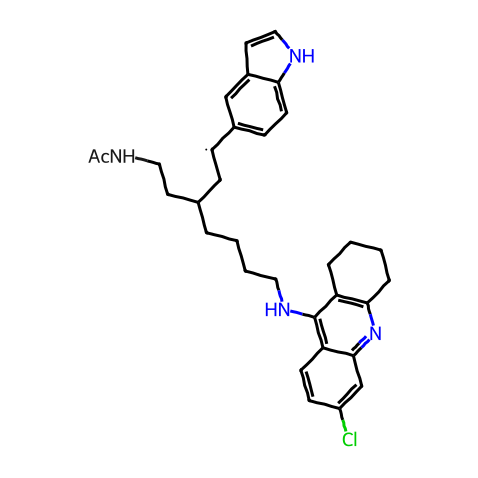 CC(=O)NCCC(C[CH]c1ccc2[nH]ccc2c1)CCCCNc1c2c(nc3cc(Cl)ccc13)CCCC2